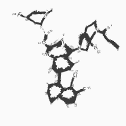 C=CC(=O)N1CCC2[C@H]1CN2c1nc(OC[C@@H]2C[C@@H](F)CN2C)nc2cc(-c3cccc4ccc(F)c(Cl)c34)ccc12